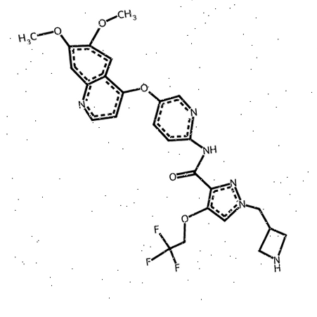 COc1cc2nccc(Oc3ccc(NC(=O)c4nn(CC5CNC5)cc4OCC(F)(F)F)nc3)c2cc1OC